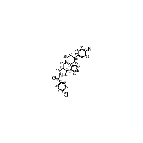 O=C(c1ccc(Cl)cc1)N1CC(CN2CCC(c3ccc(F)cc3)CC2)C(c2ccsc2)C1